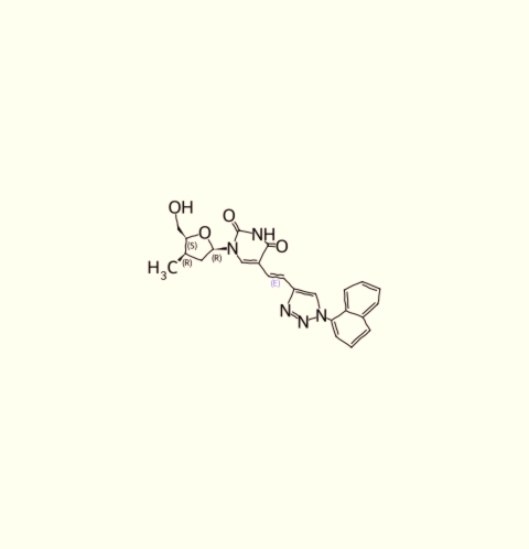 C[C@@H]1C[C@H](n2cc(/C=C/c3cn(-c4cccc5ccccc45)nn3)c(=O)[nH]c2=O)O[C@@H]1CO